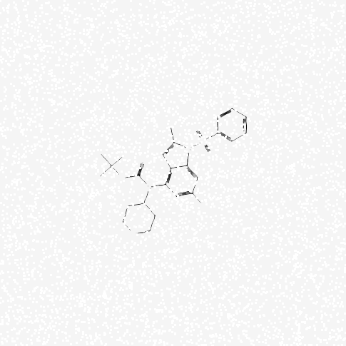 Cc1cc2c(N(C(=O)OC(C)(C)C)C3CCOCC3)cc(F)cc2n1S(=O)(=O)c1ccccc1